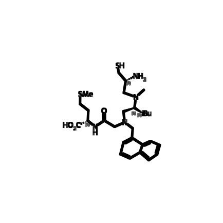 CC[C@H](C)[C@@H](CN(CC(=O)N[C@@H](CCSC)C(=O)O)Cc1cccc2ccccc12)N(C)C[C@@H](N)CS